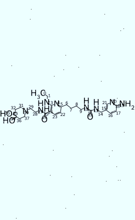 CCNc1nc(CCCCNC(=O)NCc2ccc(N)nc2)ccc1C(=O)NCCN1CCS(O)(O)CC1